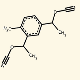 Cc1ccc(C(C)OC#N)cc1C(C)OC#N